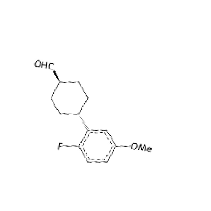 COc1ccc(F)c([C@H]2CC[C@H](C=O)CC2)c1